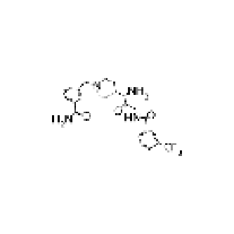 NC(=O)c1cccc(CN2CCC(C(N)C(=O)CNC(=O)c3cccc(C(F)(F)F)c3)CC2)c1